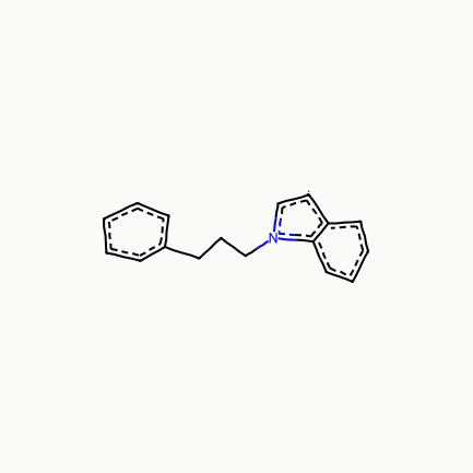 [c]1cn(CCCc2ccccc2)c2ccccc12